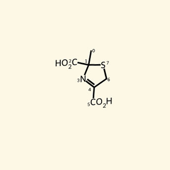 CC1(C(=O)O)N=C(C(=O)O)CS1